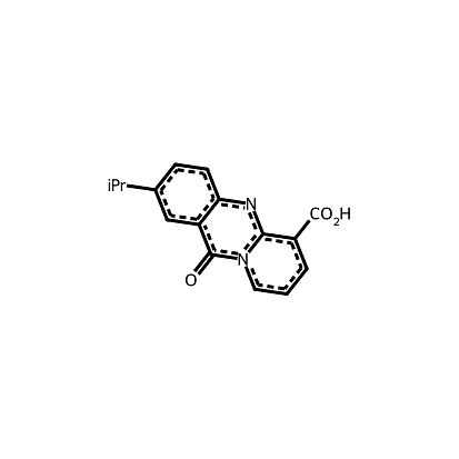 CC(C)c1ccc2nc3c(C(=O)O)cccn3c(=O)c2c1